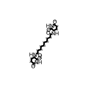 O=C1CCC(NC(=O)CCCCCCCCC(=O)NC2CCC(=O)NC2=O)C(=O)N1